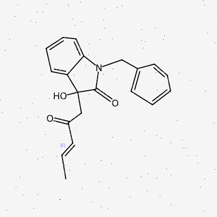 C/C=C/C(=O)CC1(O)C(=O)N(Cc2ccccc2)c2ccccc21